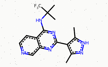 Cc1n[nH]c(C)c1-c1nc(NC(C)(C)C(F)(F)F)c2ccncc2n1